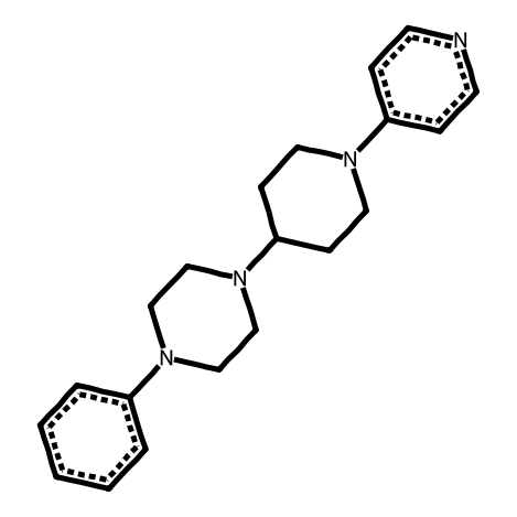 c1ccc(N2CCN(C3CCN(c4ccncc4)CC3)CC2)cc1